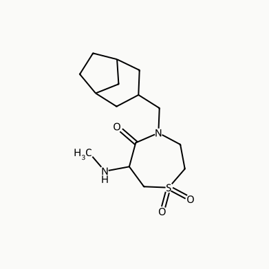 CNC1CS(=O)(=O)CCN(CC2CC3CCC(C3)C2)C1=O